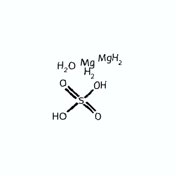 O.O=S(=O)(O)O.[MgH2].[MgH2]